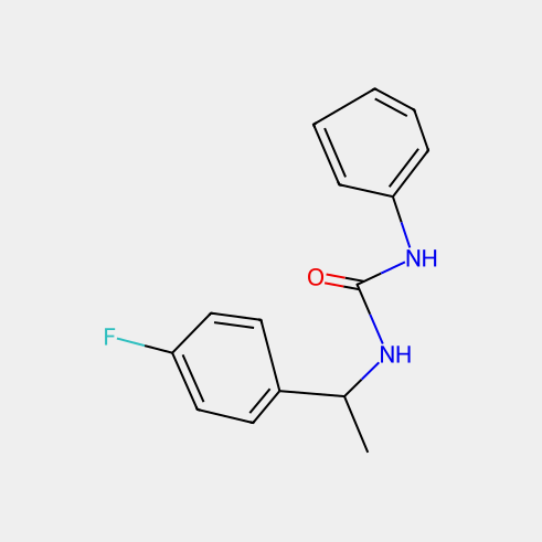 CC(NC(=O)Nc1ccccc1)c1ccc(F)cc1